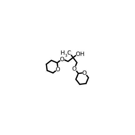 CC(O)(COC1CCCCO1)COC1CCCCO1